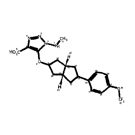 CPn1nnc(C(=O)O)c1OC1C[C@@H]2CC(c3ccc(OC(F)(F)F)cc3)C[C@@H]2C1